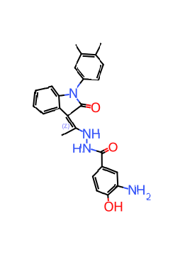 C/C(NNC(=O)c1ccc(O)c(N)c1)=C1/C(=O)N(c2ccc(C)c(C)c2)c2ccccc21